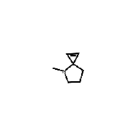 CN1CCCC12C=C2